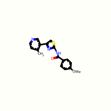 COc1ccc(C(=O)Nc2nc(-c3cnccc3C)cs2)cc1